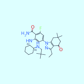 CCc1nn(-c2cc(F)c(C(N)=O)c(N[C@H]3CCCC[C@@H]3NCC(C)(C)C)c2)c2c1C(=O)CC(C)(C)C2